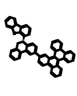 c1ccc2c(c1)C[C@H](c1cccc3c1oc1ccccc13)c1ccc(-c3ccc4c5ccccc5c5c6ccccc6c6ccccc6c5c4c3)cc1-2